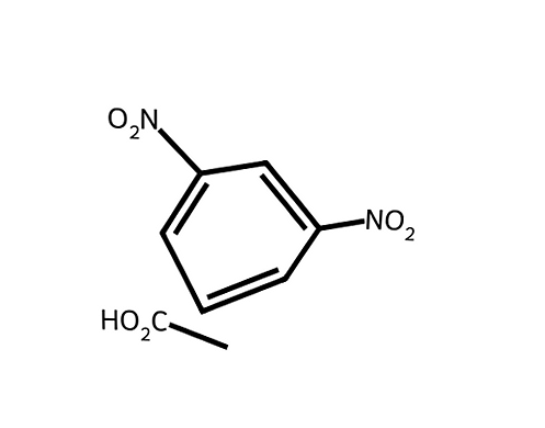 CC(=O)O.O=[N+]([O-])c1cccc([N+](=O)[O-])c1